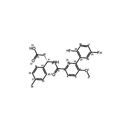 COc1ccc(C(=O)N[C@@H](CC(=O)O)c2ccc(C)cc2)nc1-c1cc(F)ccc1F